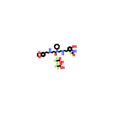 O=C(CCNCCc1ccc2c(c1)OCCO2)N(CCNCCc1ccc(O)c2[nH]c(=O)sc12)C1CCCCCC1.O=C(O)C(F)(F)F.O=C(O)C(F)(F)F